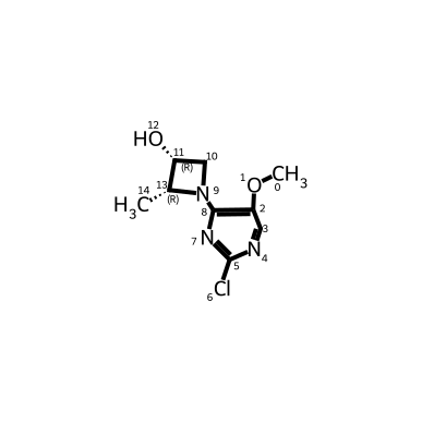 COc1cnc(Cl)nc1N1C[C@@H](O)[C@H]1C